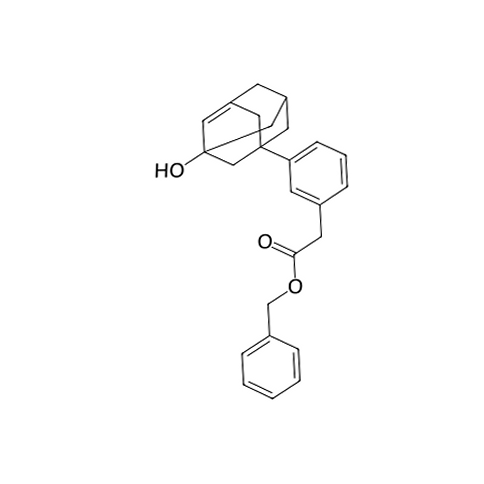 O=C(Cc1cccc(C23CC4=CC(O)(CC(C4)C2)C3)c1)OCc1ccccc1